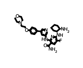 NC(=O)c1cc(F)c(N[C@@H]2CCCC[C@@H]2N)nc1Nc1cncc(-c2ccc(OCCN3CCOCC3)cc2)c1